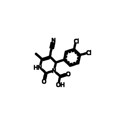 CC1=C(C#N)C(c2ccc(Cl)c(Cl)c2)N(C(=O)O)C(=O)N1